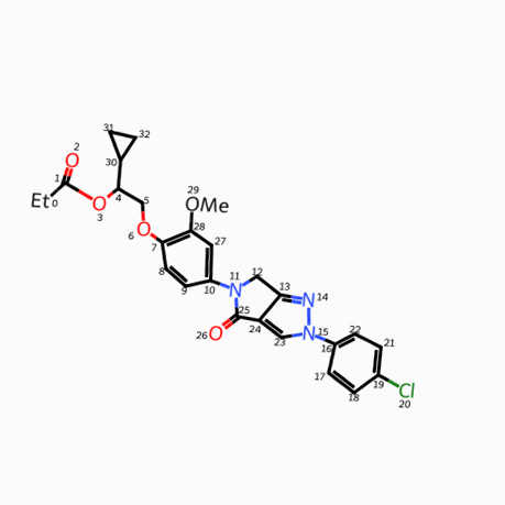 CCC(=O)OC(COc1ccc(N2Cc3nn(-c4ccc(Cl)cc4)cc3C2=O)cc1OC)C1CC1